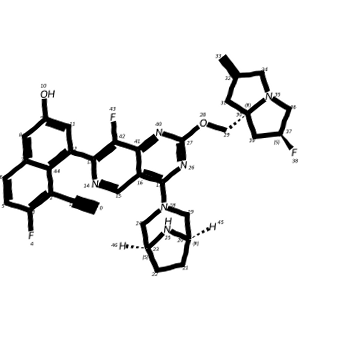 C#Cc1c(F)ccc2cc(O)cc(-c3ncc4c(N5C[C@H]6CC[C@@H](C5)N6)nc(OC[C@]56CC(=C)CN5C[C@@H](F)C6)nc4c3F)c12